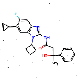 CC(O)(CC(=O)Nc1nc2cc(F)c(C3CC3)cc2n1C1CCC1)c1ccccc1